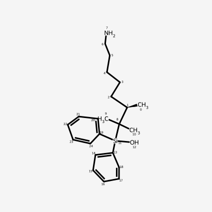 C[C@H](CCCCCN)C(C)(C)[Si](O)(c1ccccc1)c1ccccc1